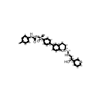 Cc1ccc(NC(=O)NS(=O)(=O)c2ccc(-c3ccc4c(c3)CC[C@H](CNC[C@H](O)c3cccnc3)O4)cc2)cc1